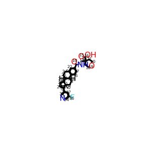 C[C@]12CC[C@@H]3c4ccc(C(=O)NCC5(C(=O)O)CCOCC5)cc4CC[C@H]3[C@@H]1CC=C2c1cncc(F)c1